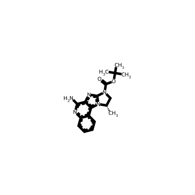 C[C@H]1CN(C(=O)OC(C)(C)C)c2nc3c(N)nc4ccccc4c3n21